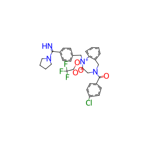 N=C(c1ccc(C[N+]2(OC(=O)C(F)(F)F)C(=O)CN(C(=O)c3ccc(Cl)cc3)Cc3ccccc32)cc1)N1CCCC1